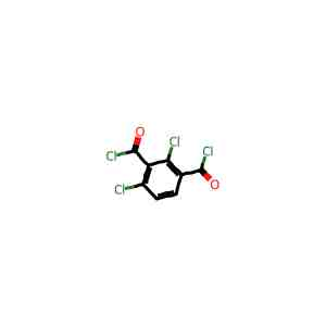 O=C(Cl)c1ccc(Cl)c(C(=O)Cl)c1Cl